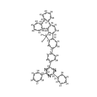 CC1(C)c2cc(-c3ccc(-c4nc(-c5ccccc5)nc(-c5ccccc5)n4)cc3)ccc2-c2ccc3c4ccccc4c4ccccc4c3c21